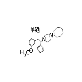 COc1cccc(CC(c2ccccc2)N2CCN(C3CCCCCCC3)CC2)c1.Cl.Cl